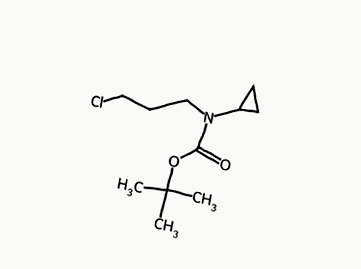 CC(C)(C)OC(=O)N(CCCCl)C1CC1